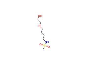 CS(=O)(=O)NCCCCOCCO